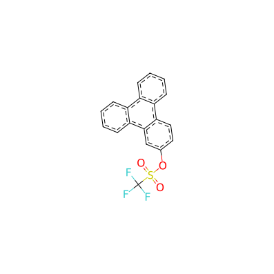 O=S(=O)(Oc1ccc2c3ccccc3c3ccccc3c2c1)C(F)(F)F